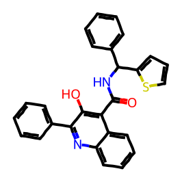 O=C(NC(c1ccccc1)c1cccs1)c1c(O)c(-c2ccccc2)nc2ccccc12